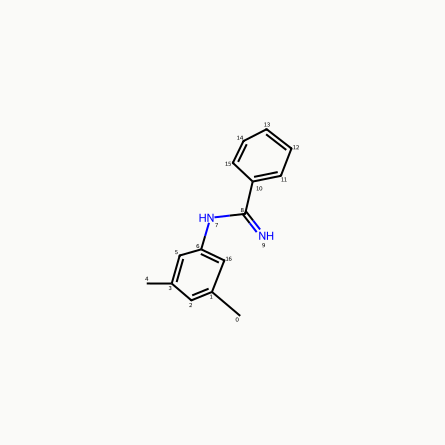 Cc1cc(C)cc(NC(=N)c2ccccc2)c1